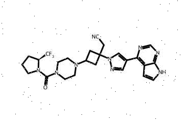 N#CCC1(n2cc(-c3ncnc4[nH]ccc34)cn2)CC(N2CCN(C(=O)N3CCC[C@H]3C(F)(F)F)CC2)C1